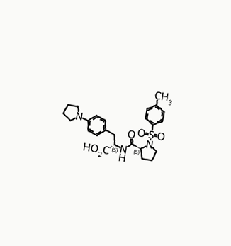 Cc1ccc(S(=O)(=O)N2CCC[C@H]2C(=O)N[C@@H](Cc2ccc(N3CCCC3)cc2)C(=O)O)cc1